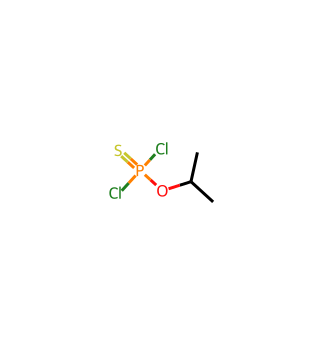 CC(C)OP(=S)(Cl)Cl